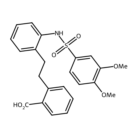 COc1ccc(S(=O)(=O)Nc2ccccc2CCc2ccccc2C(=O)O)cc1OC